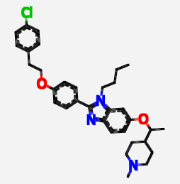 CCCCn1c(-c2ccc(OCCc3ccc(Cl)cc3)cc2)nc2ccc(OC(C)C3CCN(C)CC3)cc21